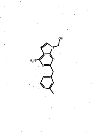 Nc1nc(Cc2cccc(I)c2)nc2c1ncn2CO